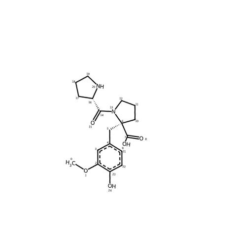 COc1cc(C[C@@]2(C(=O)O)CCCN2C(=O)[C@@H]2CCCN2)ccc1O